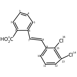 O=C(O)c1ccccc1C=Cc1cccc(Cl)c1Cl